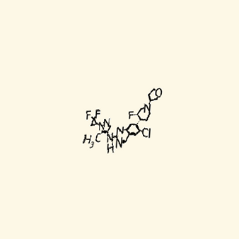 Cc1c(Nc2ncc3cc(Cl)c([C@H]4CCN([C@@H]5CCOC5)C[C@@H]4F)cc3n2)cnn1[C@H]1CC1(F)F